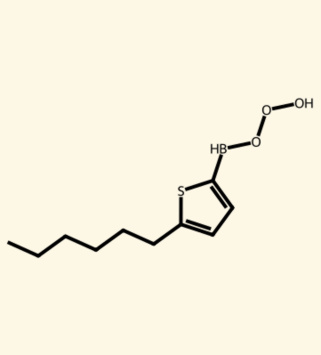 CCCCCCc1ccc(BOOO)s1